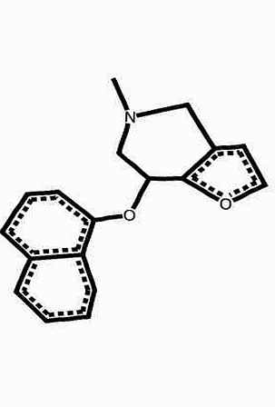 CN1Cc2ccoc2C(Oc2cccc3ccccc23)C1